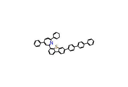 C1=CC(c2ccccc2)=CC(c2cccc3c2sc2cc(-c4ccc(-c5ccc(-c6ccccc6)cc5)cc4)ccc23)=NC=1C1=CCCC=C1